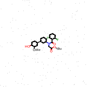 COc1cc(-c2cccc(N(CC(=O)OC(C)(C)C)C(=O)c3c(F)cccc3F)c2)ccc1O